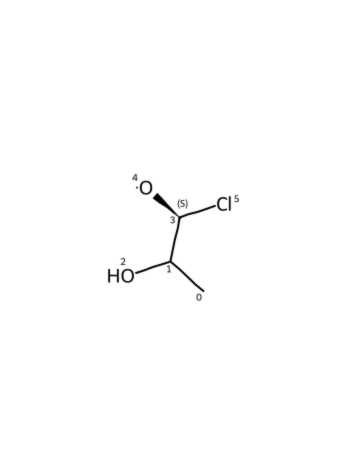 CC(O)[C@@H]([O])Cl